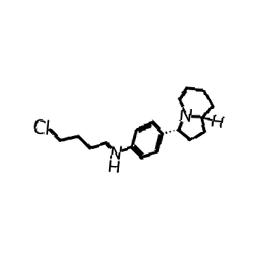 ClCCCCNc1ccc([C@H]2CC[C@H]3CCCCN32)cc1